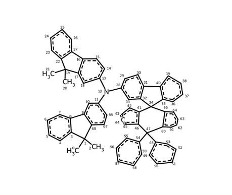 CC1(C)c2ccccc2-c2cc(N(c3ccc4c(c3)C(C)(C)c3ccccc3-4)c3ccc4c(c3)C3(c5ccccc5-4)c4ccccc4C(c4ccccc4)(c4ccccc4)c4ccccc43)ccc21